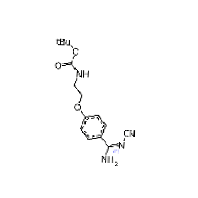 CC(C)(C)OC(=O)NCCOc1ccc(/C(N)=N\C#N)cc1